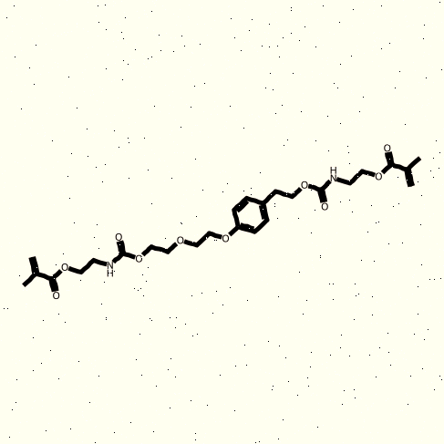 C=C(C)C(=O)OCCNC(=O)OCCOCCOc1ccc(CCOC(=O)NCCOC(=O)C(=C)C)cc1